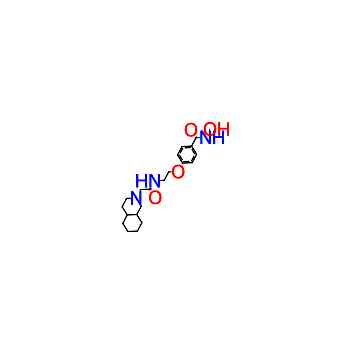 O=C(CN1CCC2CCCCC2C1)NCCOc1ccc(C(=O)NO)cc1